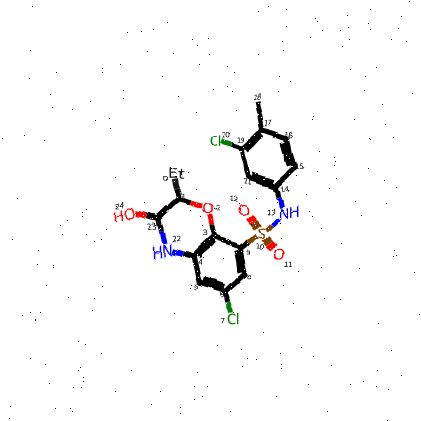 CCC1Oc2c(cc(Cl)cc2S(=O)(=O)Nc2ccc(C)c(Cl)c2)NC1O